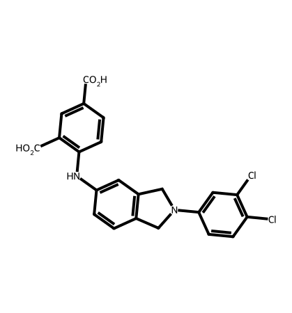 O=C(O)c1ccc(Nc2ccc3c(c2)CN(c2ccc(Cl)c(Cl)c2)C3)c(C(=O)O)c1